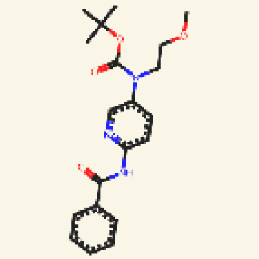 COCCN(C(=O)OC(C)(C)C)c1ccc(NC(=O)c2ccccc2)nc1